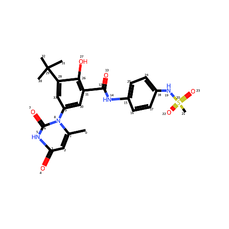 Cc1cc(=O)[nH]c(=O)n1-c1cc(C(=O)Nc2ccc(NS(C)(=O)=O)cc2)c(O)c(C(C)(C)C)c1